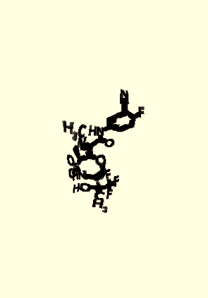 Cn1cc2c(c1C(=O)Nc1ccc(F)c(C#N)c1)OC[C@H](C(C)(O)C(F)(F)F)NS2(=O)=O